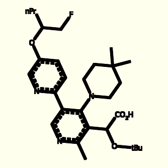 CCCC(CF)Oc1ccc(-c2cnc(C)c(C(OC(C)(C)C)C(=O)O)c2N2CCC(C)(C)CC2)nc1